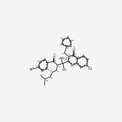 CCC(C(=O)O)(c1nc2cc(Cl)ccc2c(=O)n1Cc1ccccc1)N(CCCN(C)C)C(=O)c1ccc(Br)cc1